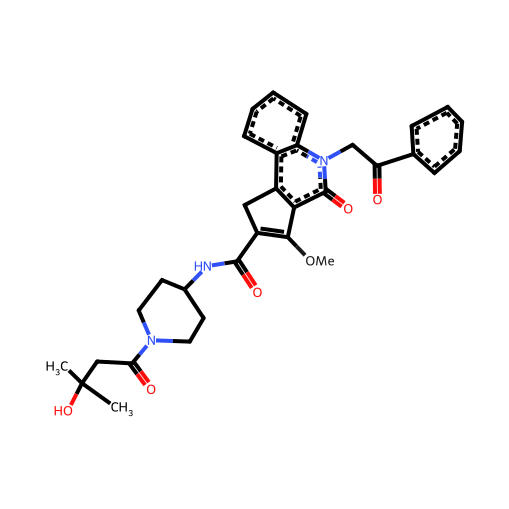 COC1=C(C(=O)NC2CCN(C(=O)CC(C)(C)O)CC2)Cc2c1c(=O)n(CC(=O)c1ccccc1)c1ccccc21